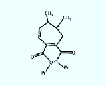 CC(C)OC(=O)C1=C(C(=O)OC(C)C)CC(C)C(C)C=C1